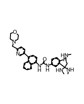 CNN1CC(NC)(NC)c2cc(NC(=O)Nc3ccc(-c4ccc(CN5CCOCC5)nc4)c4ccccc34)ccc21